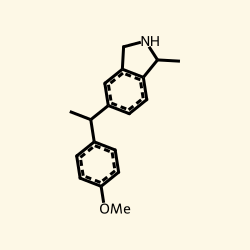 COc1ccc(C(C)c2ccc3c(c2)CNC3C)cc1